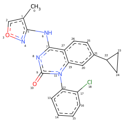 Cc1conc1Nc1nc(=O)n(-c2ccccc2Cl)c2cc(C3CC3)ccc12